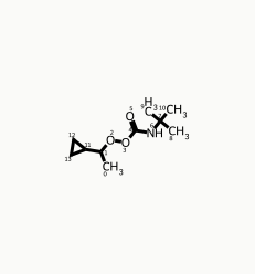 CC(OOC(=O)NC(C)(C)C)C1CC1